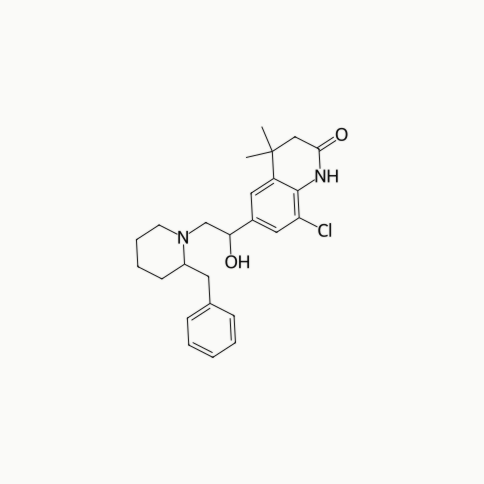 CC1(C)CC(=O)Nc2c(Cl)cc(C(O)CN3CCCCC3Cc3ccccc3)cc21